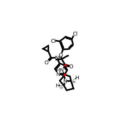 CC(C)(Oc1ccc(Cl)cc1Cl)C(=O)N[C@H]1C[C@H]2CC[C@@H](C1)N2c1ccc(NC(=O)C2CC2)cn1